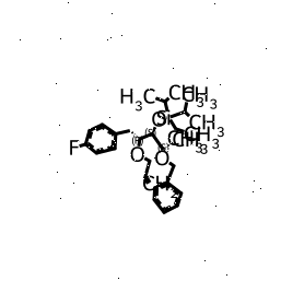 C=CCO[C@H](Cc1ccc(F)cc1)[C@@H](O[Si](C(C)C)(C(C)C)C(C)C)[C@H](C)OCc1ccccc1